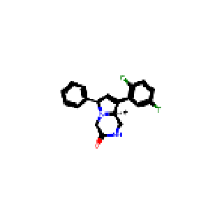 O=C1CN2[C@H](CN1)C(c1cc(F)ccc1F)=C[C@@H]2c1ccccc1